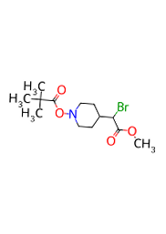 COC(=O)C(Br)C1CCN(OC(=O)C(C)(C)C)CC1